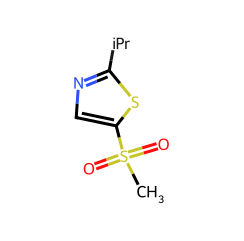 CC(C)c1ncc(S(C)(=O)=O)s1